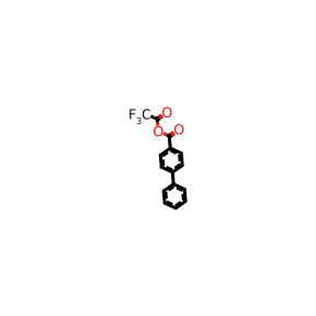 O=C(OC(=O)C(F)(F)F)c1ccc(-c2ccccc2)cc1